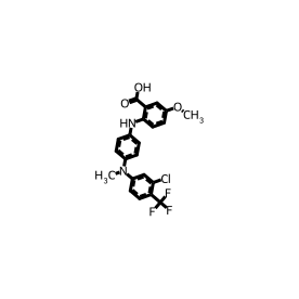 COc1ccc(Nc2ccc(N(C)c3ccc(C(F)(F)F)c(Cl)c3)cc2)c(C(=O)O)c1